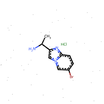 CC(N)c1cn2cc(Br)ccc2n1.Cl